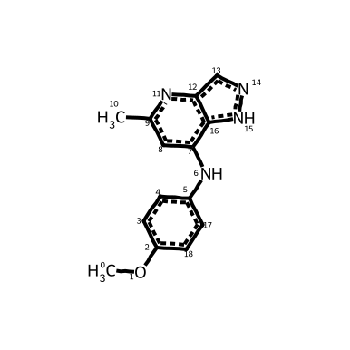 COc1ccc(Nc2cc(C)nc3cn[nH]c23)cc1